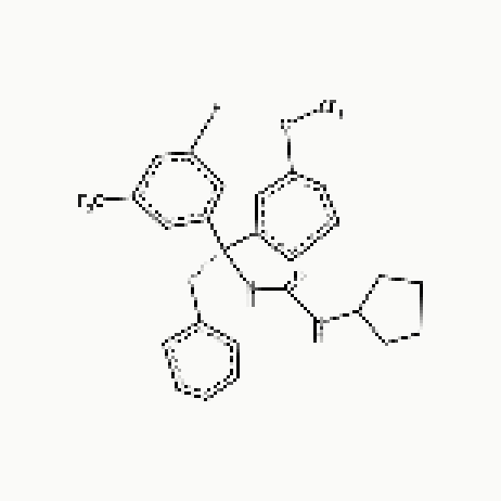 O=C(NC1CCCC1)N[C@](Cc1ccccc1)(c1cccc(OC(F)(F)F)c1)c1cc(F)cc(C(F)(F)F)c1